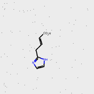 O=C(O)C=CCc1ncc[nH]1